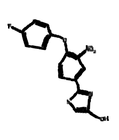 O=[N+]([O-])c1cc(-c2nc(O)cs2)ccc1Oc1ccc(F)cc1